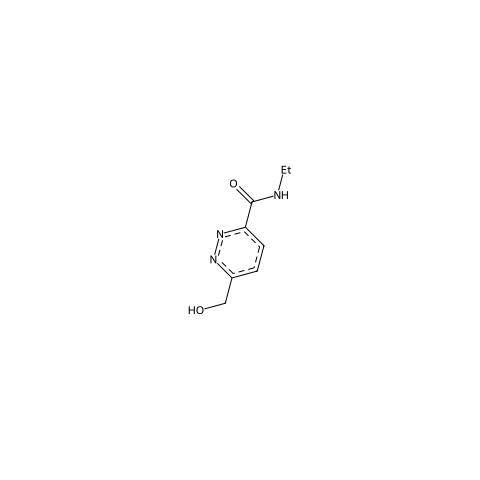 CCNC(=O)c1ccc(CO)nn1